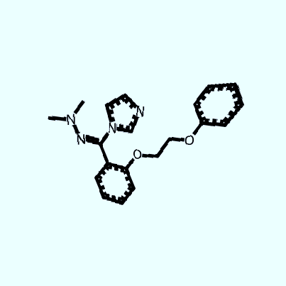 CN(C)N=C(c1ccccc1OCCOc1ccccc1)n1ccnc1